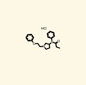 CCC(=O)N(c1ccccc1)C1CCN(CCOc2ccccc2)C1.Cl